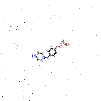 O=[SH](=O)OCc1ccc(CN2CCNCC2)cc1